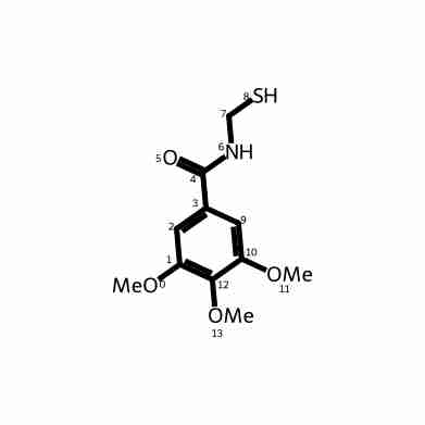 COc1cc(C(=O)NCS)cc(OC)c1OC